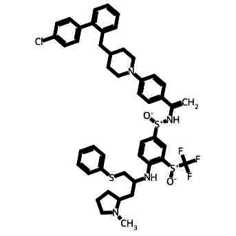 C=C(N[S+]([O-])c1ccc(NC(CSc2ccccc2)CC2CCCN2C)c([S+]([O-])C(F)(F)F)c1)c1ccc(N2CCC(Cc3ccccc3-c3ccc(Cl)cc3)CC2)cc1